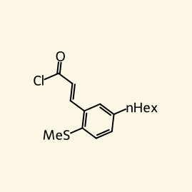 CCCCCCc1ccc(SC)c(C=CC(=O)Cl)c1